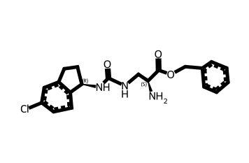 N[C@@H](CNC(=O)N[C@@H]1CCc2cc(Cl)ccc21)C(=O)OCc1ccccc1